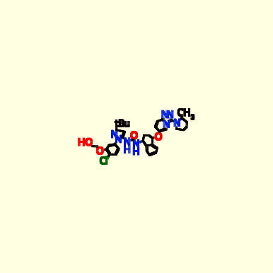 C[C@H]1CCCCN1c1nnc2ccc(O[C@@H]3CC[C@H](NC(=O)Nc4cc(C(C)(C)C)nn4-c4ccc(Cl)c(OCCO)c4)c4ccccc43)cn12